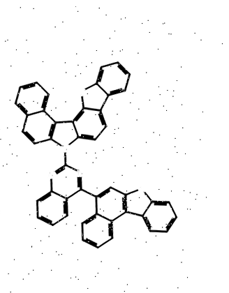 c1ccc2c(c1)ccc1c2c2c3sc4ccccc4c3ccc2n1-c1nc(-c2cc3sc4ccccc4c3c3ccccc23)c2ccccc2n1